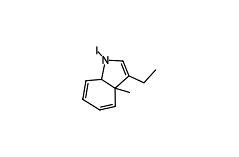 CCC1=CN(I)C2C=CC=CC12C